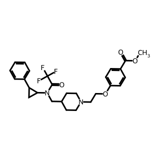 COC(=O)c1ccc(OCCN2CCC(CN(C(=O)C(F)(F)F)C3CC3c3ccccc3)CC2)cc1